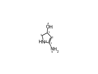 NC1=CC(O)CN1